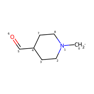 [CH2]N1CCC(C=O)CC1